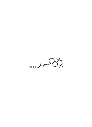 CC(/C=C/CN1CCCc2c1ccc1c2C(C)(C)CCC1(C)C)=C\C(=O)O